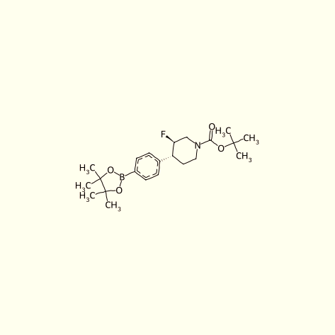 CC(C)(C)OC(=O)N1CC[C@H](c2ccc(B3OC(C)(C)C(C)(C)O3)cc2)[C@@H](F)C1